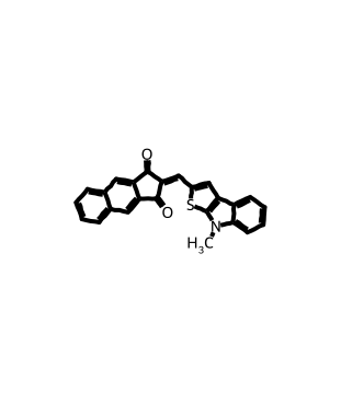 Cn1c2ccccc2c2cc(C=C3C(=O)c4cc5ccccc5cc4C3=O)sc21